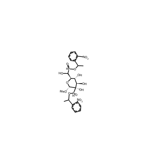 CO[C@@H]1O[C@@H](C(O)[PH](=O)OC(C)c2ccccc2[N+](=O)[O-])[C@H](O)[C@@H](O)[C@@]1(O)[PH](=O)OC(C)c1ccccc1[N+](=O)[O-]